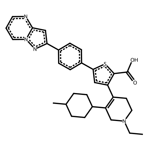 CCN1CCC(c2cc(-c3ccc(-c4cc5ncccn5n4)cc3)sc2C(=O)O)=C(C2CCC(C)CC2)C1